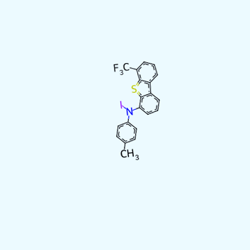 Cc1ccc(N(I)c2cccc3c2sc2c(C(F)(F)F)cccc23)cc1